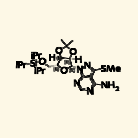 CSc1nn([C@@H]2O[C@H](CO[Si](C(C)C)(C(C)C)C(C)C)[C@H]3OC(C)(C)O[C@H]32)c2ncnc(N)c12